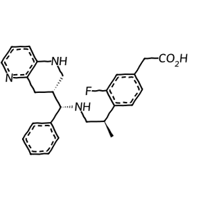 C[C@@H](CN[C@H](c1ccccc1)[C@H]1CNc2cccnc2C1)c1ccc(CC(=O)O)cc1F